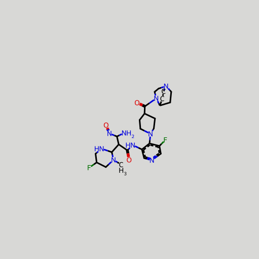 CN1CC(F)CNC1C(C(=O)Nc1cncc(F)c1N1CCC(C(=O)N2CCN3CCC2CC3)CC1)C(N)N=O